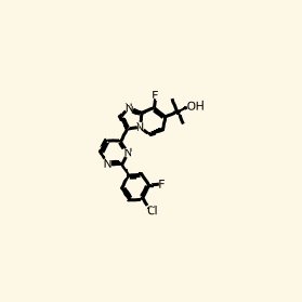 CC(C)(O)c1ccn2c(-c3ccnc(-c4ccc(Cl)c(F)c4)n3)cnc2c1F